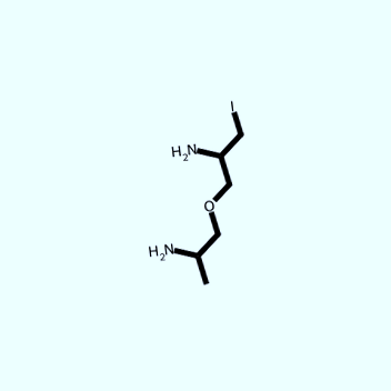 CC(N)COCC(N)CI